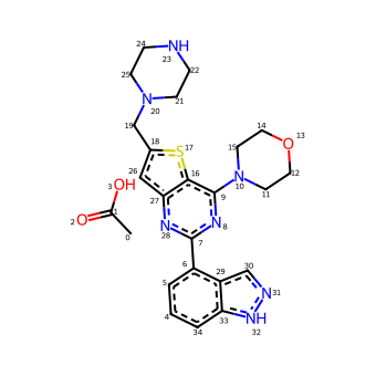 CC(=O)O.c1cc(-c2nc(N3CCOCC3)c3sc(CN4CCNCC4)cc3n2)c2cn[nH]c2c1